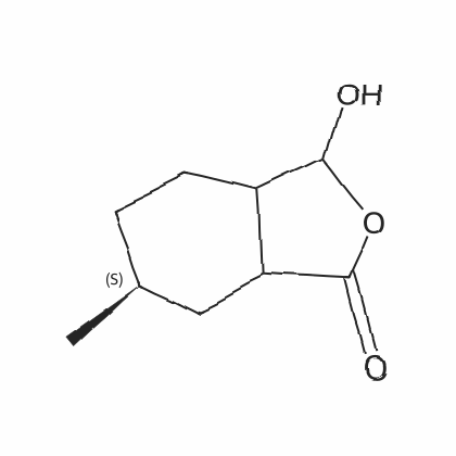 C[C@H]1CCC2C(O)OC(=O)C2C1